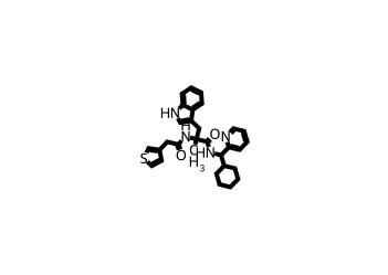 CC(Cc1c[nH]c2ccccc12)(NC(=O)Cc1ccsc1)C(=O)NC(c1ccccn1)C1CCCCC1